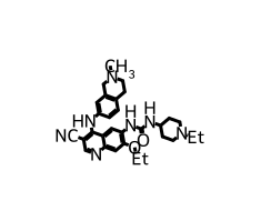 CCOc1cc2ncc(C#N)c(Nc3ccc4c(c3)CN(C)CC4)c2cc1NC(=O)NC1CCN(CC)CC1